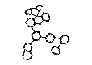 c1ccc(-c2ncccc2-c2ccc(-c3cc(-c4cccc5c4Oc4ccccc4C54c5ccccc5-c5ccccc54)nc(-c4ccc5ccccc5c4)n3)cc2)cc1